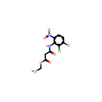 CCOC(=O)CC(=O)Nc1c([N+](=O)[O-])ccc(Cl)c1Cl